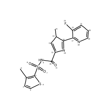 Cc1ccsc1S(=O)(=O)NC(=O)C1=CC(C)C(c2ncccc2F)=N1